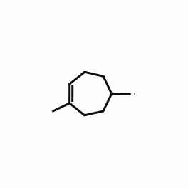 [CH2]C1CCC=C(C)CC1